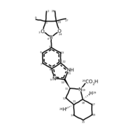 CC1(C)OB(c2ccc3nc([C@@H]4C[C@@H]5CCCC[C@@H]5N4C(=O)O)[nH]c3c2)OC1(C)C